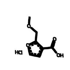 COCc1occc1C(=O)O.Cl